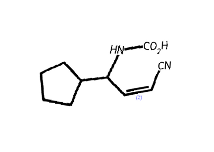 N#C/C=C\C(NC(=O)O)C1CCCC1